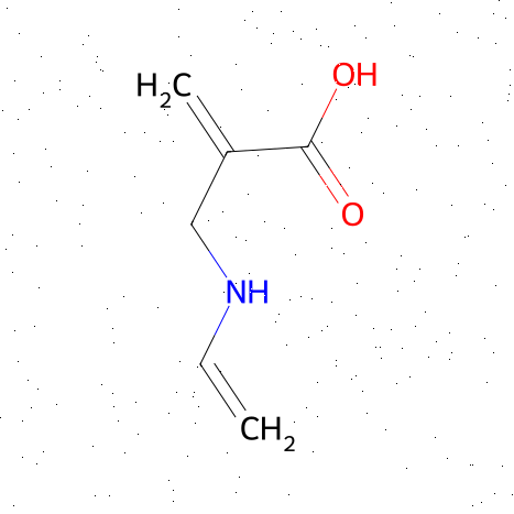 C=CNCC(=C)C(=O)O